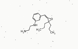 CCCC1(CCC)OC1=Cc1cccc(NCCN)c1